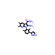 Cc1cc2c(C(N)=O)c(N)n(-c3c(C)ccc(-c4cc[nH]n4)c3C)c2nc1C